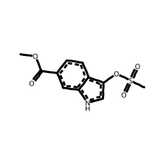 COC(=O)c1ccc2c(OS(C)(=O)=O)c[nH]c2c1